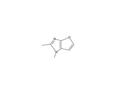 Cc1nc2occc2n1C